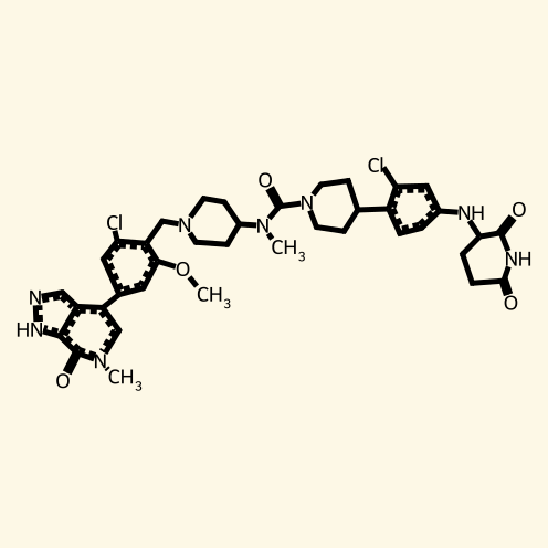 COc1cc(-c2cn(C)c(=O)c3[nH]ncc23)cc(Cl)c1CN1CCC(N(C)C(=O)N2CCC(c3ccc(NC4CCC(=O)NC4=O)cc3Cl)CC2)CC1